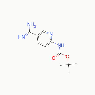 CC(C)(C)OC(=O)Nc1ccc(C(=N)N)cn1